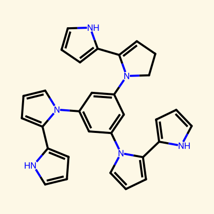 C1=C(c2ccc[nH]2)N(c2cc(-n3cccc3-c3ccc[nH]3)cc(-n3cccc3-c3ccc[nH]3)c2)CC1